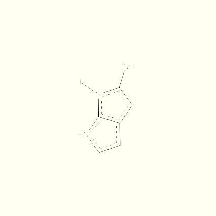 Nc1cc2cc[nH]c2n1I